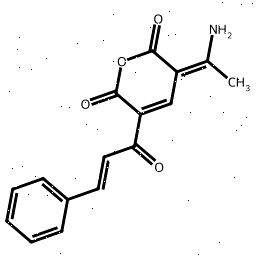 CC(N)=C1C=C(C(=O)C=Cc2ccccc2)C(=O)OC1=O